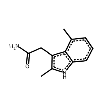 Cc1[nH]c2cccc(C)c2c1CC(N)=O